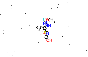 COc1nc(Nc2cc(C)cc(-c3cnc([C@]4(O)CC[C@H](O)CC4)s3)c2)ncc1F